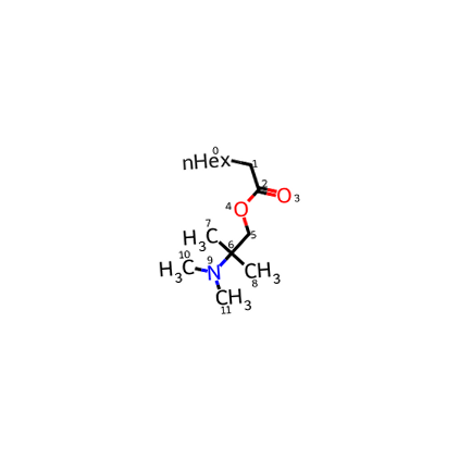 CCCCCCCC(=O)OCC(C)(C)N(C)C